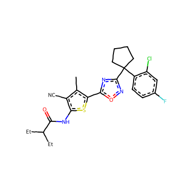 CCC(CC)C(=O)Nc1sc(-c2nc(C3(c4ccc(F)cc4Cl)CCCC3)no2)c(C)c1C#N